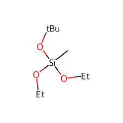 CCO[Si](C)(OCC)OC(C)(C)C